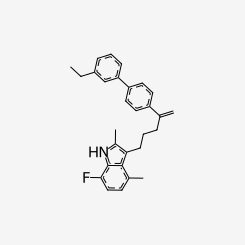 C=C(CCCc1c(C)[nH]c2c(F)ccc(C)c12)c1ccc(-c2cccc(CC)c2)cc1